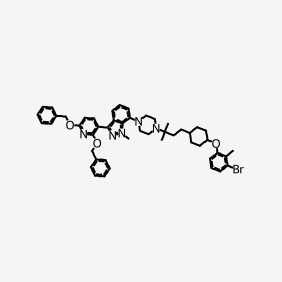 Cc1c(Br)cccc1OC1CCC(CCC(C)(C)N2CCN(c3cccc4c(-c5ccc(OCc6ccccc6)nc5OCc5ccccc5)nn(C)c34)CC2)CC1